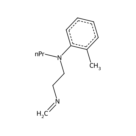 C=NCCN(CCC)c1ccccc1C